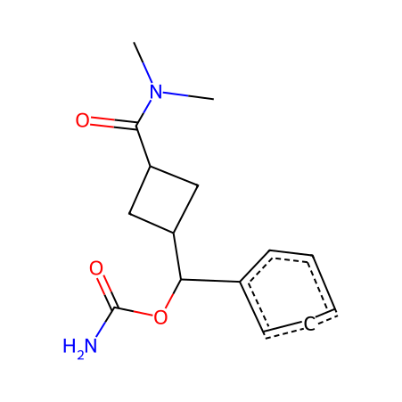 CN(C)C(=O)C1CC(C(OC(N)=O)c2ccccc2)C1